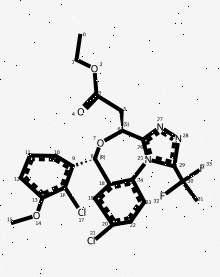 CCOC(=O)C[C@@H]1O[C@@H](c2cccc(OC)c2Cl)c2cc(Cl)ccc2-n2c1nnc2C(C)(F)F